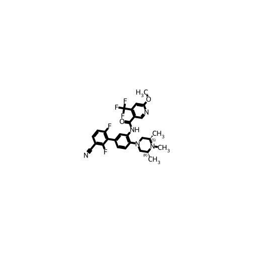 COc1cc(C(F)(F)F)c(C(=O)Nc2cc(-c3c(F)ccc(C#N)c3F)ccc2N2C[C@@H](C)N(C)[C@@H](C)C2)cn1